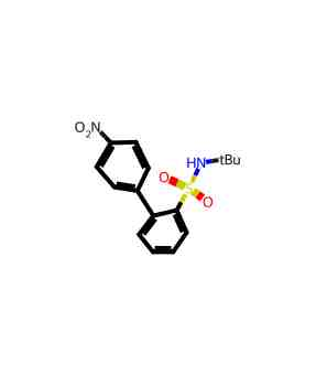 CC(C)(C)NS(=O)(=O)c1ccccc1-c1ccc([N+](=O)[O-])cc1